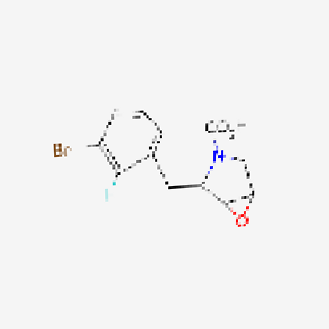 O=C(O)N1CC2OC2C1Cc1cccc(Br)c1F